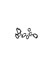 c1ccc(-c2nc(-c3ccccc3)c3sc4c(-c5ccc(-n6c7ccccc7c7ccccc76)cc5)cccc4c3n2)cc1